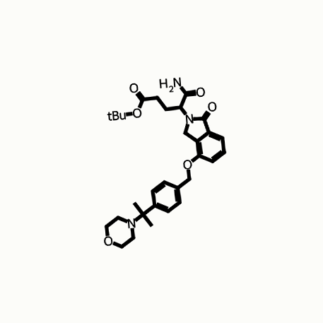 CC(C)(C)OC(=O)CCC(C(N)=O)N1Cc2c(OCc3ccc(C(C)(C)N4CCOCC4)cc3)cccc2C1=O